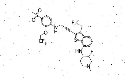 CN1CCC(Nc2cccc3c(CC(F)(F)F)c(C#CCNc4ccc(S(C)(=O)=O)cc4OCC(F)(F)F)sc23)C(F)C1